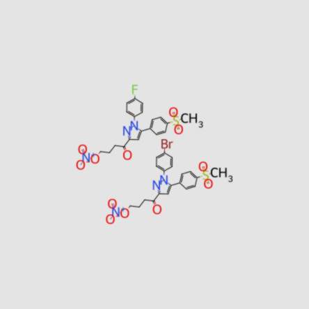 CS(=O)(=O)c1ccc(-c2cc(C(=O)CCCO[N+](=O)[O-])nn2-c2ccc(Br)cc2)cc1.CS(=O)(=O)c1ccc(-c2cc(C(=O)CCCO[N+](=O)[O-])nn2-c2ccc(F)cc2)cc1